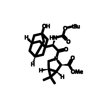 COC(=O)[C@@H]1[C@@H]2[C@H](CN1C(=O)[C@@H](NC(=O)OC(C)(C)C)C13C[C@@H]4C[C@@H](CC(O)(C4)C1)C3)C2(C)C